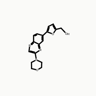 OCc1ccc(-c2ccc3ncc(N4CCOCC4)nc3c2)o1